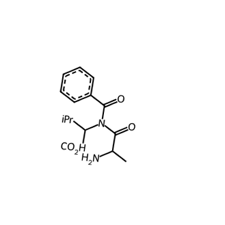 CC(N)C(=O)N(C(=O)c1ccccc1)C(C(=O)O)C(C)C